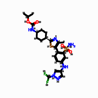 Cc1nc([C@H]2CC[C@H](NC(=O)OC(C)C)CC2)sc1-c1ccc(Nc2cnn(C(F)F)c2)cc1S(N)(=O)=O